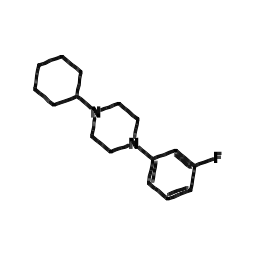 Fc1cccc(N2CCN(C3CCCCC3)CC2)c1